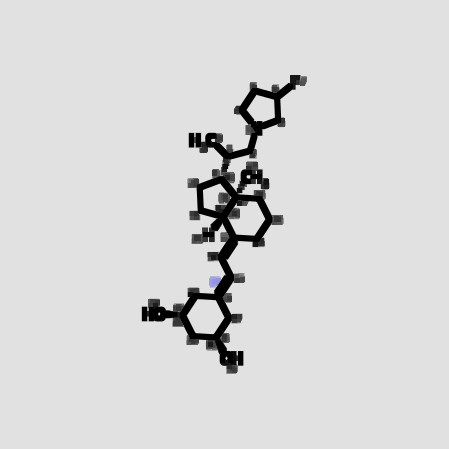 CC(CN1CCC(F)C1)[C@H]1CC[C@H]2C(=C/C=C3/C[C@@H](O)C[C@@H](O)C3)CCC[C@]12C